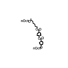 CCCCCCCCOc1ccc(C(=O)Oc2ccc(C(=O)OCCCCCC(C)OCCCCCCCC)cc2)cc1